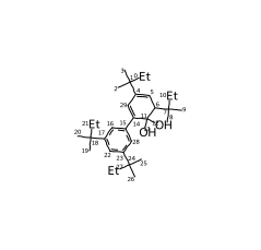 CCC(C)(C)C1=CC(C(C)(C)CC)C(O)(O)C(c2cc(C(C)(C)CC)cc(C(C)(C)CC)c2)=C1